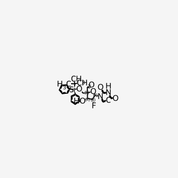 CC(C)(C)[Si](OC[C@@]1(C=O)O[C@@H](n2ccc(=O)[nH]c2=O)[C@H](F)[C@@H]1O)(c1ccccc1)c1ccccc1